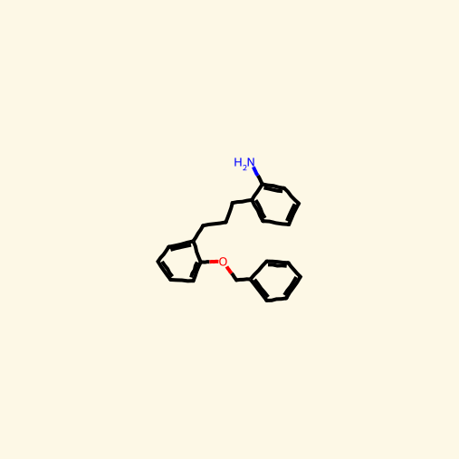 Nc1ccccc1CCCc1ccccc1OCc1ccccc1